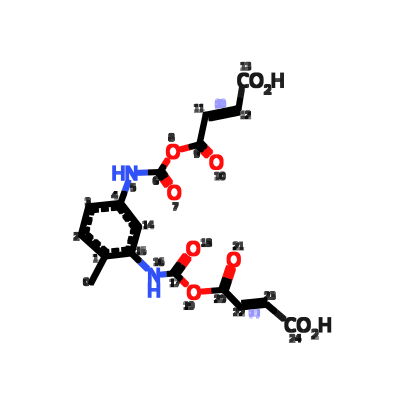 Cc1ccc(NC(=O)OC(=O)/C=C/C(=O)O)cc1NC(=O)OC(=O)/C=C/C(=O)O